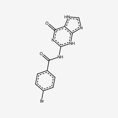 O=C(Nc1nc(=O)c2[nH]cnc2[nH]1)c1ccc(Br)cc1